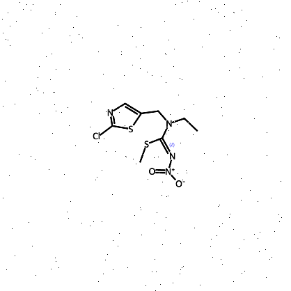 CCN(Cc1cnc(Cl)s1)/C(=N/[N+](=O)[O-])SC